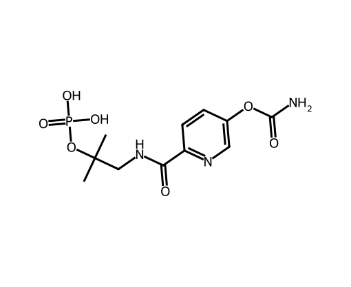 CC(C)(CNC(=O)c1ccc(OC(N)=O)cn1)OP(=O)(O)O